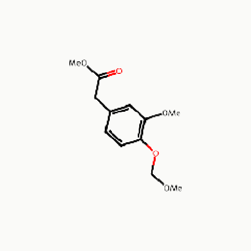 COCOc1ccc(CC(=O)OC)cc1OC